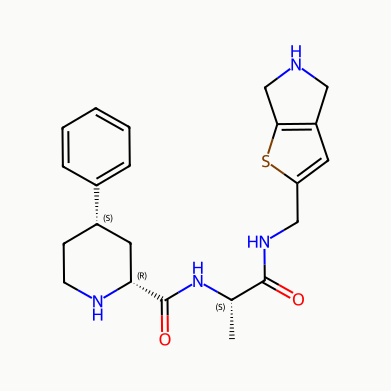 C[C@H](NC(=O)[C@H]1C[C@@H](c2ccccc2)CCN1)C(=O)NCc1cc2c(s1)CNC2